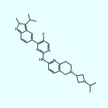 CC(C)c1c2cc(-c3nc(Nc4ccc5c(n4)CCN(C4CN(C(C)C)C4)C5)ncc3F)ccc2nn1C